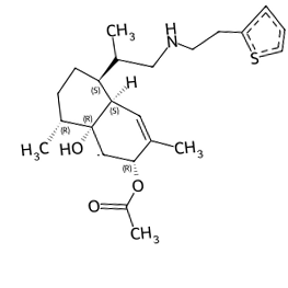 CC(=O)O[C@@H]1[CH][C@@]2(O)[C@H](C)CC[C@@H](C(C)CNCCc3cccs3)[C@H]2C=C1C